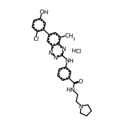 Cc1cc(-c2cc(O)ccc2Cl)cc2nnc(Nc3cccc(C(=O)NCCN4CCCC4)c3)nc12.Cl